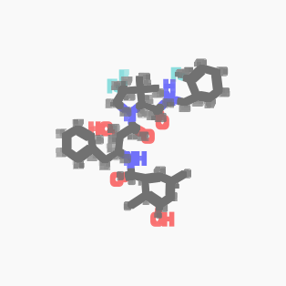 Cc1cc(O)c(C)c(C(=O)N[C@@H](Cc2ccccc2)[C@H](O)C(=O)N2CC(F)(F)C(C)(C)[C@H]2C(=O)NCc2ccccc2F)c1